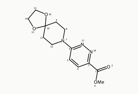 COC(=O)c1ccc(N2CCC3(CC2)OCCO3)nn1